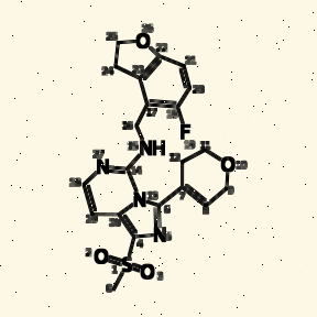 CS(=O)(=O)c1nc(C2=CCOCC2)n2c(NCc3c(F)ccc4c3CCO4)nccc12